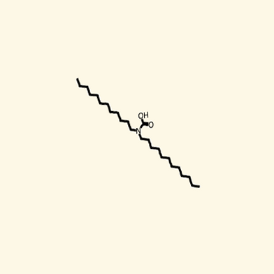 CCCCCCCCCCCCN(CCCCCCCCCCCC)C(=O)O